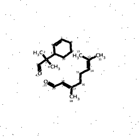 CC(C)(C=O)C1C=CCCC1.CC(C)=CCCC(C)=CC=O